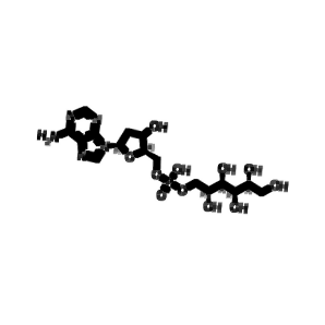 Nc1ncnc2c1ncn2[C@H]1CC(O)[C@@H](COP(=O)(O)OC[C@@H](O)[C@@H](O)[C@H](O)[C@H](O)CO)O1